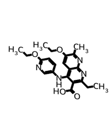 CCOc1ccc(Nc2c(C(=O)O)c(CC)nc3nc(C)c(OCC)cc23)cn1